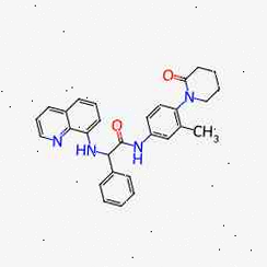 Cc1cc(NC(=O)C(Nc2cccc3cccnc23)c2ccccc2)ccc1N1CCCCC1=O